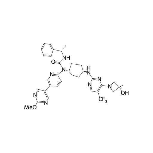 COc1ncc(-c2ccc(N(C(=O)N[C@@H](C)c3ccccc3)[C@H]3CC[C@H](Nc4ncc(C(F)(F)F)c(N5CC(C)(O)C5)n4)CC3)nc2)cn1